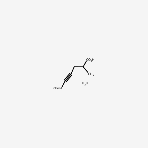 CCCCCC#CCC(C)C(=O)O.O